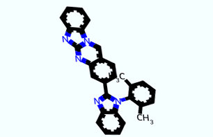 Cc1cccc(C)c1-n1c(-c2ccc3cn4c(nc3c2)nc2ccccc24)nc2ccccc21